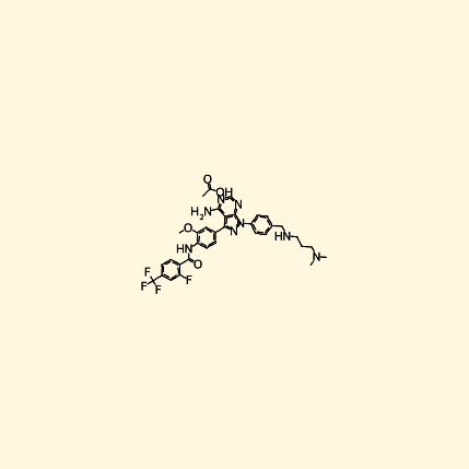 CC(=O)O.COc1cc(-c2nn(-c3ccc(CNCCCN(C)C)cc3)c3ncnc(N)c23)ccc1NC(=O)c1ccc(C(F)(F)F)cc1F